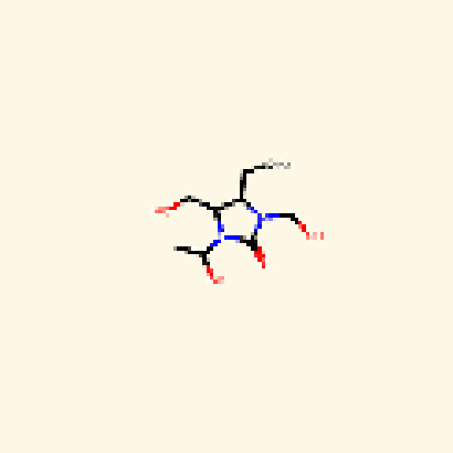 COCC1C(CO)N(C(C)O)C(=O)N1CO